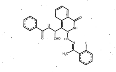 C/C(=N\NN1NC(=O)C2=CC=CCC2=C1C(C=O)NC(=O)c1ccccc1)c1ccccc1F